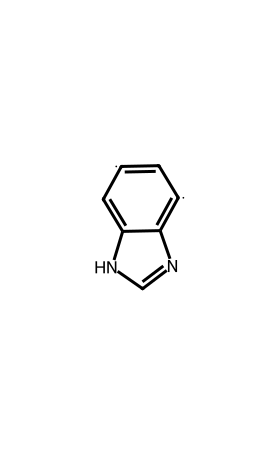 [c]1c[c]c2nc[nH]c2c1